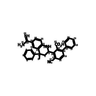 CC1(c2ccccc2)CC(c2c(C#N)ccc(-c3ccccc3)c2C(=O)O)Nc2ccc(C(=N)N)cc21